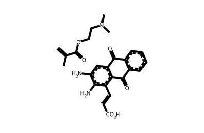 C=C(C)C(=O)OCCN(C)C.Nc1cc2c(c(C=CC(=O)O)c1N)C(=O)c1ccccc1C2=O